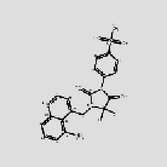 CC1(C)C(=O)N(c2ccc(S(=O)(=O)C(F)(F)F)cc2)C(=O)N1Cc1ccnc2cccc(N)c12